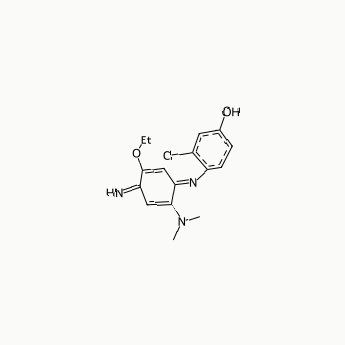 CCOC1=C/C(=N\c2ccc(O)cc2Cl)C(N(C)C)=CC1=N